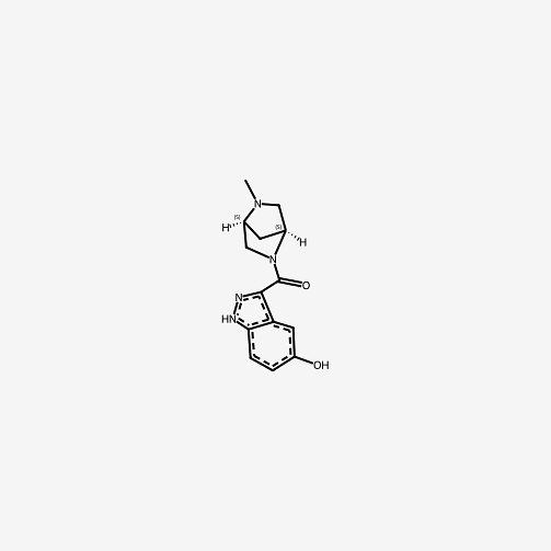 CN1C[C@@H]2C[C@H]1CN2C(=O)c1n[nH]c2ccc(O)cc12